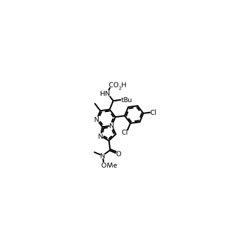 CON(C)C(=O)c1cn2c(-c3ccc(Cl)cc3Cl)c(C(NC(=O)O)C(C)(C)C)c(C)nc2n1